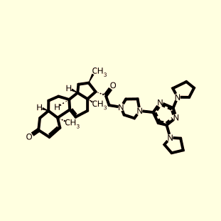 C[C@@H]1C[C@H]2[C@@H]3CC[C@H]4CC(=O)C=C[C@]4(C)C3=CC[C@]2(C)[C@H]1C(=O)CN1CCN(c2cc(N3CCCC3)nc(N3CCCC3)n2)CC1